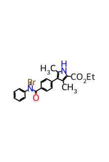 CCOC(=O)c1[nH]c(C)c(-c2ccc(C(=O)N(Br)c3ccccc3)cc2)c1C